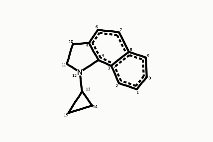 c1ccc2c3c(ccc2c1)CCN3C1CC1